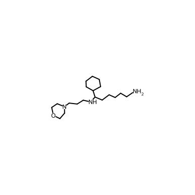 NCCCCCC(NCCCN1CCOCC1)C1CCCCC1